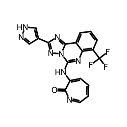 O=c1nccccc1Nc1nc2c(C(F)(F)F)cccc2c2nc(-c3cn[nH]c3)nn12